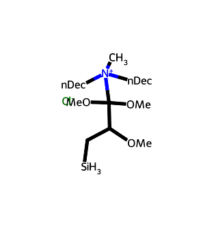 CCCCCCCCCC[N+](C)(CCCCCCCCCC)C(OC)(OC)C(C[SiH3])OC.[Cl-]